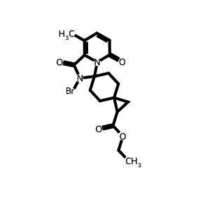 CCOC(=O)C1CC12CCC1(CC2)N(Br)C(=O)c2c(C)ccc(=O)n21